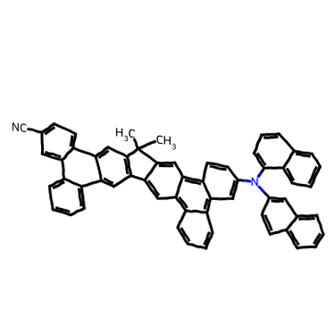 CC1(C)c2cc3c4ccc(C#N)cc4c4ccccc4c3cc2-c2cc3c4ccccc4c4cc(N(c5ccc6ccccc6c5)c5cccc6ccccc56)ccc4c3cc21